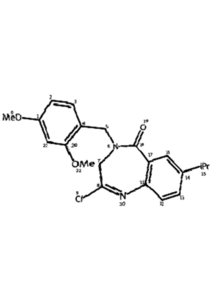 COc1ccc(CN2CC(Cl)=Nc3ccc(C(C)C)cc3C2=O)c(OC)c1